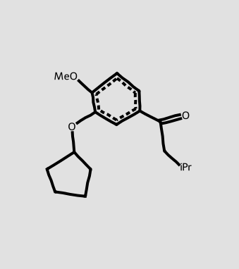 COc1ccc(C(=O)CC(C)C)cc1OC1CCCC1